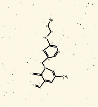 Cc1cc(C=O)c(=O)n(Cc2cccc(OCCO)c2)c1